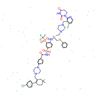 CC1(C)CCC(c2ccc(Cl)cc2)=C(CN2CCN(c3ccc(C(=O)NS(=O)(=O)c4ccc(N[C@H](CCN5CCN(Cc6c(F)ccnc6N6CCC(=O)NC6=O)CC5)CSc5ccccc5)c(S(=O)(=O)C(F)(F)F)c4)cc3)CC2)C1